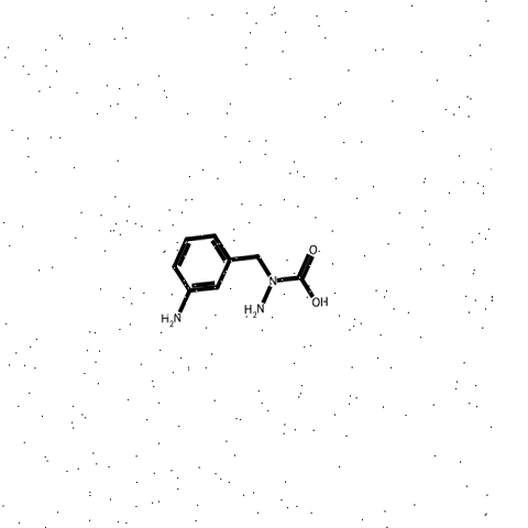 Nc1cccc(CN(N)C(=O)O)c1